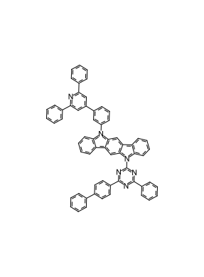 c1ccc(-c2ccc(-c3nc(-c4ccccc4)nc(-n4c5ccccc5c5cc6c(cc54)c4ccccc4n6-c4cccc(-c5cc(-c6ccccc6)nc(-c6ccccc6)c5)c4)n3)cc2)cc1